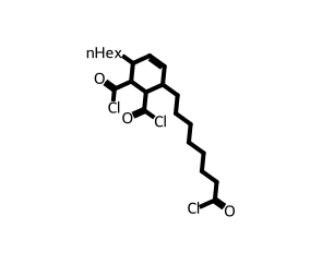 CCCCCCC1C=CC(CCCCCCCC(=O)Cl)C(C(=O)Cl)C1C(=O)Cl